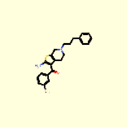 Nc1sc2c(c1C(=O)c1cccc(C(F)(F)F)c1)CCN(CCCc1ccccc1)C2